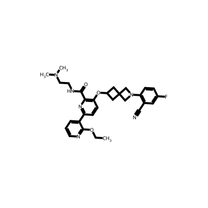 CCOc1ncccc1-c1ccc(OC2CC3(C2)CN(c2ccc(F)cc2C#N)C3)c(C(=O)NCCN(C)C)n1